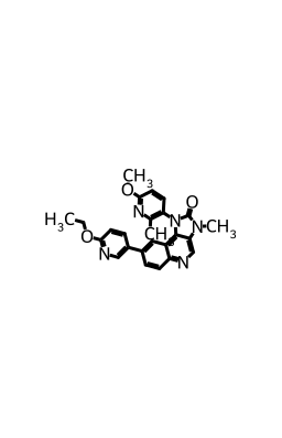 CCOc1ccc(-c2ccc3ncc4c(c3c2)n(-c2ccc(OC)nc2C)c(=O)n4C)cn1